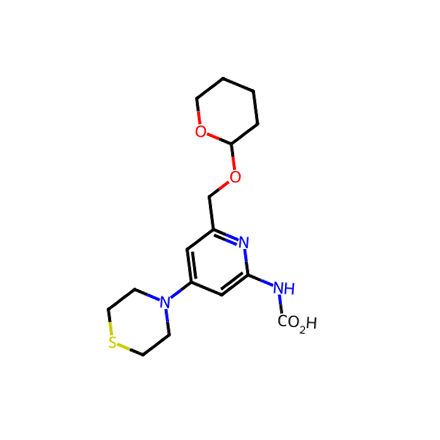 O=C(O)Nc1cc(N2CCSCC2)cc(COC2CCCCO2)n1